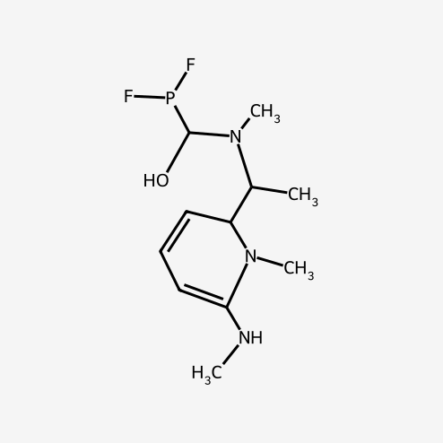 CNC1=CC=CC(C(C)N(C)C(O)P(F)F)N1C